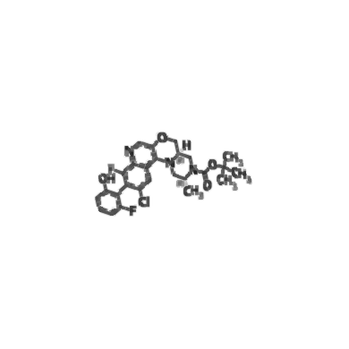 C[C@@H]1CN2c3c(cnc4c(F)c(-c5c(O)cccc5F)c(Cl)cc34)OC[C@H]2CN1C(=O)OC(C)(C)C